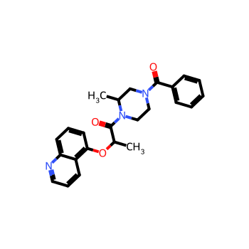 CC(Oc1cccc2ncccc12)C(=O)N1CCN(C(=O)c2ccccc2)CC1C